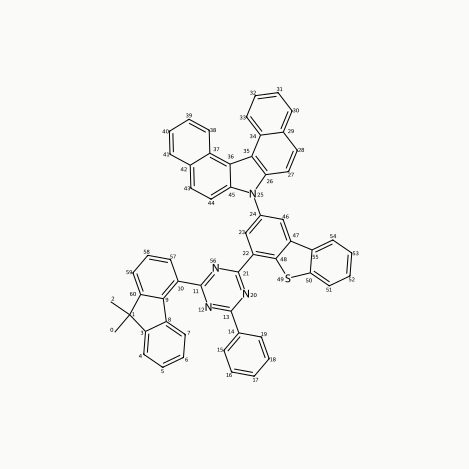 CC1(C)c2ccccc2-c2c(-c3nc(-c4ccccc4)nc(-c4cc(-n5c6ccc7ccccc7c6c6c7ccccc7ccc65)cc5c4sc4ccccc45)n3)cccc21